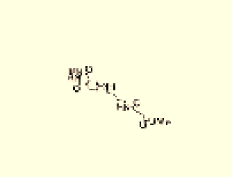 COC(=O)CCC(=O)NCCCCNc1ccc2c(=O)[nH][nH]c(=O)c2c1